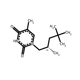 Cc1cn(C[C@@H](C)CC(C)(C)C)c(=O)[nH]c1=O